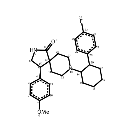 COc1ccc([C@H]2CNC(=O)C23CCN(C2CCCCC2c2ccc(F)cc2)CC3)cc1